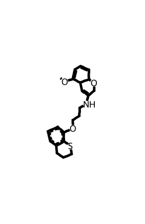 COC1=CC=CC2OCC(NCCCOc3cccc4c3SCCC4)=CC12